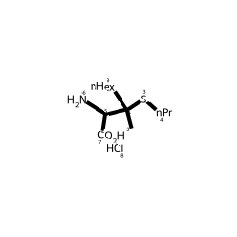 CCCCCCC(C)(SCCC)C(N)C(=O)O.Cl